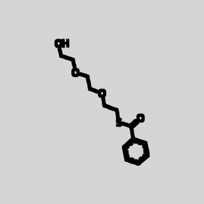 O=C(SCCOCCOCCO)c1ccccc1